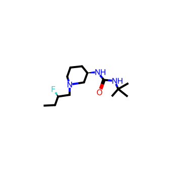 CC[C@@H](F)CN1CCC[C@@H](NC(=O)NC(C)(C)C)C1